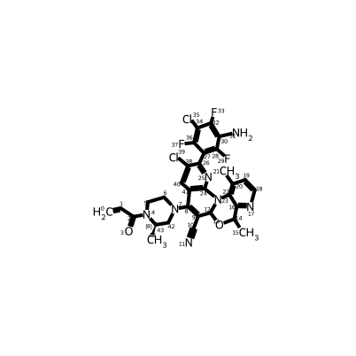 C=CC(=O)N1CCN(C2=C(C#N)C3OC(C)c4nccc(C)c4N3c3nc(-c4c(F)c(N)c(F)c(Cl)c4F)c(Cl)cc32)C[C@H]1C